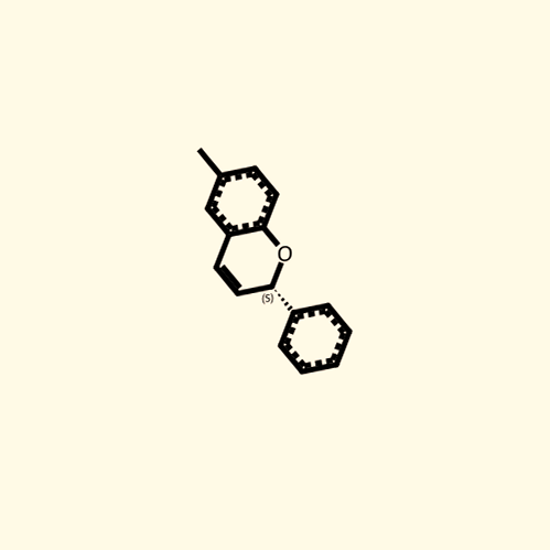 Cc1ccc2c(c1)C=C[C@@H](c1ccccc1)O2